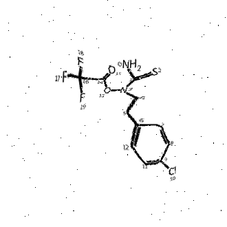 NC(=S)N(CCc1ccc(Cl)cc1)OC(=O)C(F)(F)F